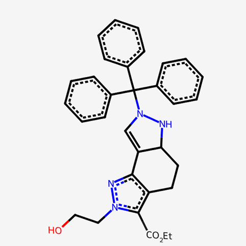 CCOC(=O)c1c2c(nn1CCO)C1=CN(C(c3ccccc3)(c3ccccc3)c3ccccc3)NC1CC2